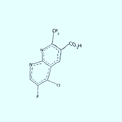 O=C(O)c1cc2c(Cl)c(F)cnc2nc1C(F)(F)F